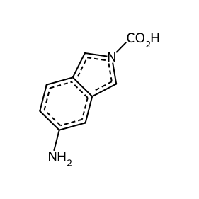 Nc1ccc2cn(C(=O)O)cc2c1